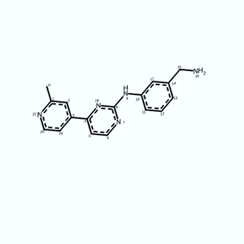 Cc1cc(-c2ccnc(Nc3cccc(CN)c3)n2)ccn1